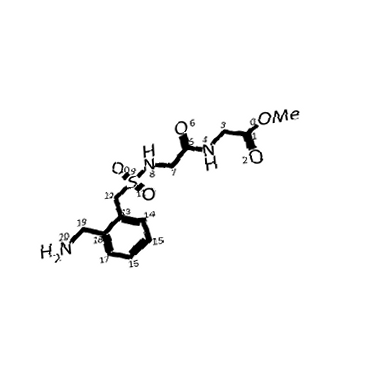 COC(=O)CNC(=O)CNS(=O)(=O)Cc1ccccc1CN